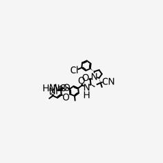 COc1cc(C(=O)N[C@H](C)C(=O)N2[C@H](c3cccc(Cl)c3)CC[C@@H]2C(C)(C)C#N)cc(C)c1O/C(=C/C(C)=N)C(N)=O